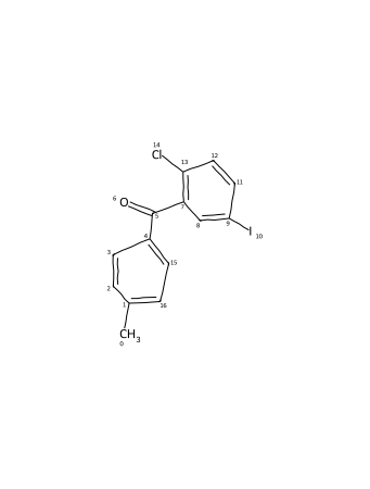 Cc1ccc(C(=O)c2cc(I)ccc2Cl)cc1